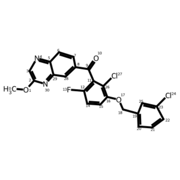 COc1cnc2ccc(C(=O)c3c(F)ccc(OCc4cccc(Cl)c4)c3Cl)cc2n1